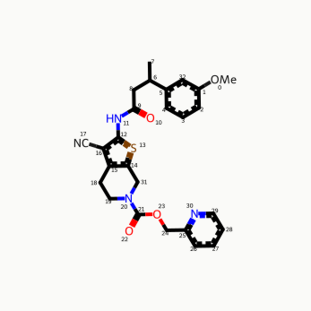 COc1cccc(C(C)CC(=O)Nc2sc3c(c2C#N)CCN(C(=O)OCc2ccccn2)C3)c1